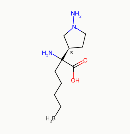 BCCCCC(N)(C(=O)O)[C@@H]1CCN(N)C1